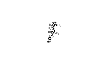 CC(C=CC1=C(C)CCCC1(C)C)=CC=CC(C)=C(COC(=O)Oc1ccc([N+](=O)[O-])cc1)C(=O)O